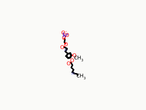 CC/C=C\CCCC(=O)Oc1ccc(/C=C/C(=O)OCCO[N+](=O)[O-])cc1OC